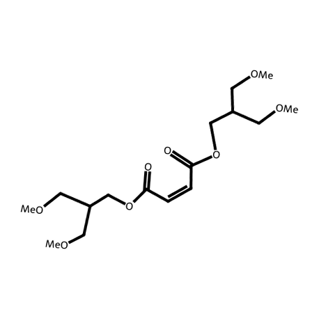 COCC(COC)COC(=O)/C=C\C(=O)OCC(COC)COC